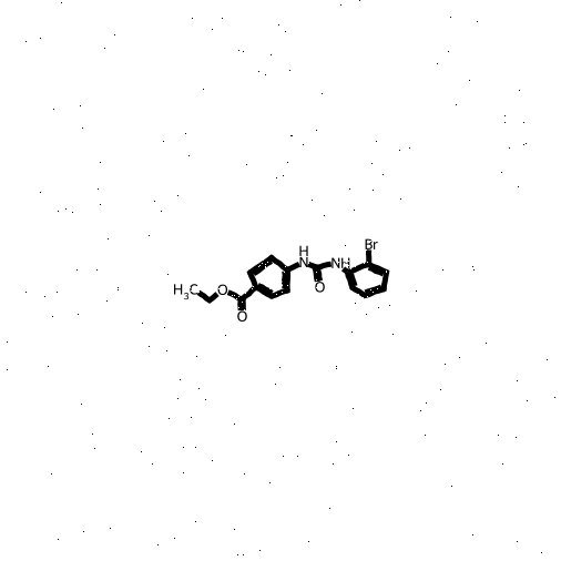 CCOC(=O)c1ccc(NC(=O)Nc2ccccc2Br)cc1